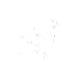 CCNCC(=O)NC(C(=O)NC(C(=O)N[C@@H](CCCNC(=N)N)C(=O)C(C)(C)C)C(C)C)C(C)CC